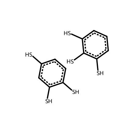 Sc1ccc(S)c(S)c1.Sc1cccc(S)c1S